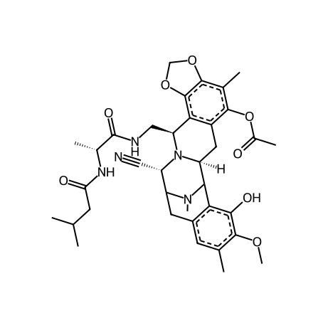 COc1c(C)cc2c(c1O)C1[C@@H]3Cc4c(OC(C)=O)c(C)c5c(c4[C@H](CNC(=O)[C@@H](C)NC(=O)CC(C)C)N3[C@@H](C#N)C(C2)N1C)OCO5